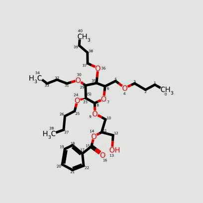 CCCCOCC1OC(OCC(CO)OC(=O)c2ccccc2)[C@@H](OCCCC)C(OCCCC)C1OCCCC